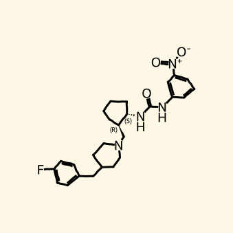 O=C(Nc1cccc([N+](=O)[O-])c1)N[C@H]1CCCC[C@@H]1CN1CCC(Cc2ccc(F)cc2)CC1